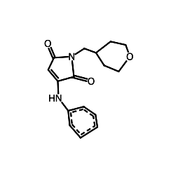 O=C1C=C(Nc2ccccc2)C(=O)N1CC1CCOCC1